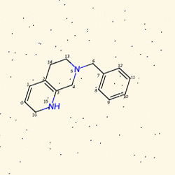 C1=CC2=C(CN(Cc3ccccc3)CC2)NC1